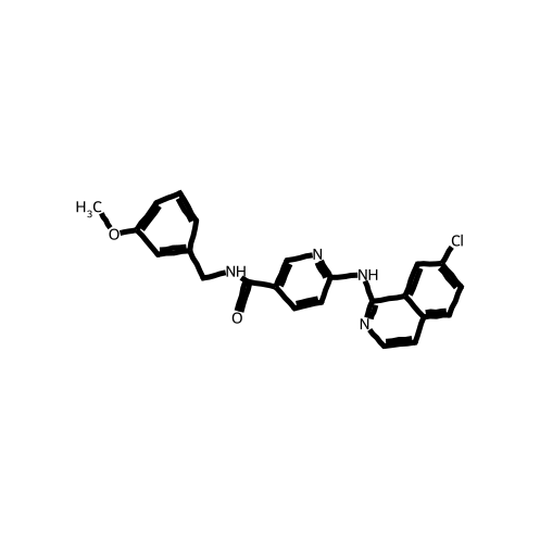 COc1cccc(CNC(=O)c2ccc(Nc3nccc4ccc(Cl)cc34)nc2)c1